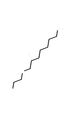 CCCCCCCCCCCCCCCCOCCOC(C)=O.[NaH]